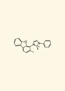 Cc1ccc2c(oc3ccccc32)c1N1C=CN(c2ccccc2)[C@H]1C